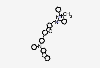 C=N/C(=N\C(=N/Cc1ccc2c(c1)oc1cc(-c3ccc(N(c4ccccc4)c4ccc5c(c4)Cc4ccccc4-5)cc3)ccc12)c1ccccc1)c1ccccc1